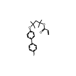 C=CC(=O)OC(C)(C)CC(C)(C)Oc1ccc(-c2ccc(F)cc2)cc1